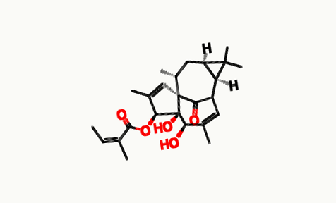 C/C=C(/C)C(=O)O[C@H]1C(C)=C[C@]23C(=O)C(C=C(C)[C@@H](O)[C@]12O)[C@H]1[C@@H](C[C@H]3C)C1(C)C